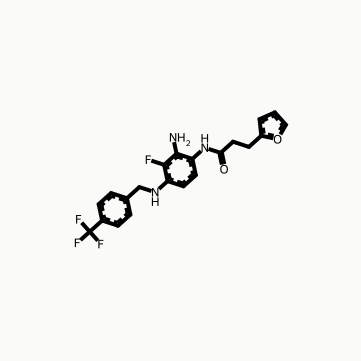 Nc1c(NC(=O)CCc2ccco2)ccc(NCc2ccc(C(F)(F)F)cc2)c1F